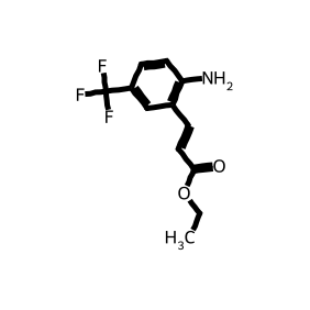 CCOC(=O)/C=C/c1cc(C(F)(F)F)ccc1N